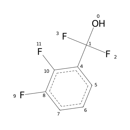 OC(F)(F)c1cccc(F)c1F